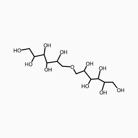 OCC(O)C(O)C(O)C(O)COCC(O)C(O)C(O)C(O)CO